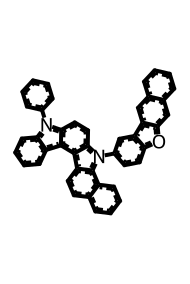 c1ccc(-n2c3ccccc3c3c4c5ccc6ccccc6c5n(-c5ccc6oc7cc8ccccc8cc7c6c5)c4ccc32)cc1